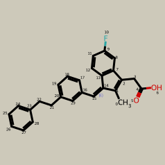 CC1=C(CC(=O)O)c2cc(F)ccc2/C1=C\c1cccc(CCc2ccccc2)c1